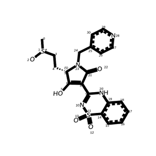 C[S+]([O-])CC[C@H]1C(O)=C(C2=NS(=O)(=O)c3ccccc3N2)C(=O)N1Cc1ccncc1